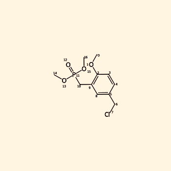 COc1ccc(CCl)cc1CP(=O)(OC)OC